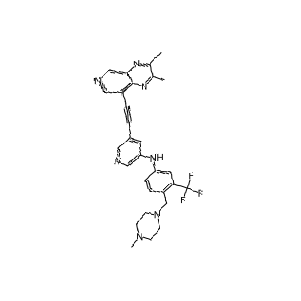 Cc1nc2cncc(C#Cc3cncc(Nc4ccc(CN5CCN(C)CC5)c(C(F)(F)F)c4)c3)c2nc1C